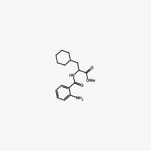 COC(=O)C(CC1CCCCC1)NC(=O)c1ccccc1N